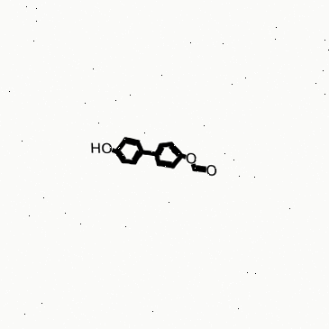 O=COc1ccc(-c2ccc(O)cc2)cc1